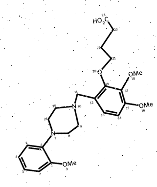 COc1ccccc1N1CCN(Cc2ccc(OC)c(OC)c2OCCCC(=O)O)CC1